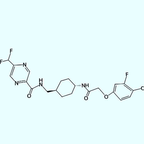 O=C(COc1ccc(Cl)c(F)c1)N[C@H]1CC[C@H](CNC(=O)c2cnc(C(F)F)cn2)CC1